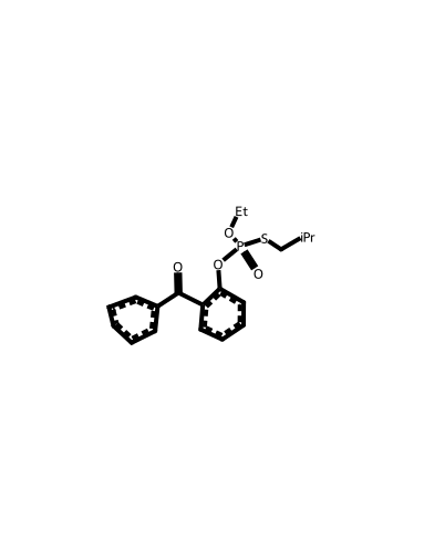 CCOP(=O)(Oc1ccccc1C(=O)c1ccccc1)SCC(C)C